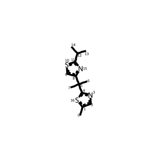 Cc1cnc(C(C)(C)c2csc(C(C)C)n2)s1